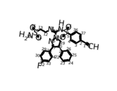 C#Cc1ccc(S(=O)(=O)NC(=NCCS(N)(=O)=O)N2C[C@@H](c3ccccc3)C(c3ccc(F)cc3)=N2)cc1